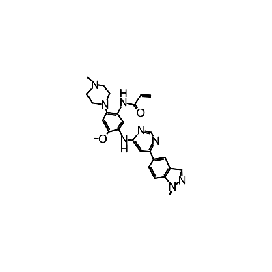 C=CC(=O)Nc1cc(Nc2cc(-c3ccc4c(cnn4C)c3)ncn2)c(OC)cc1N1CCN(C)CC1